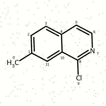 Cc1ccc2ccnc(Cl)c2c1